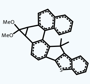 COC1(OC)C2c3ccc4c(c3-c3c(ccc5ccccc35)C21)C(C)(C)c1c-4sc2ccccc12